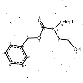 CCCCCCCN(CCO)C(=O)OCc1ccccc1